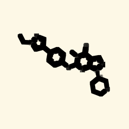 CCn1cc(-c2ccc(Oc3nc4c(cnn4[C@@H]4CCCOC4)c(=O)n3C)cc2)cn1